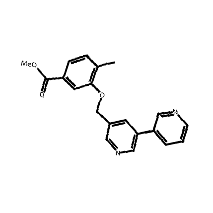 COC(=O)c1ccc(C)c(OCc2cncc(-c3cccnc3)c2)c1